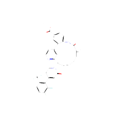 COC(=O)c1ccc2c(c1)-c1ccnc(c1)[C@@H](N1CCC(c3c(C(F)(F)F)ccc(Cl)c3F)=CC1=O)CCCC[C@@H](C)C(=O)N2